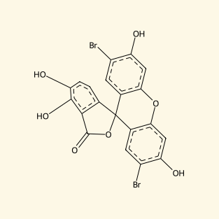 O=C1OC2(c3cc(Br)c(O)cc3Oc3cc(O)c(Br)cc32)c2ccc(O)c(O)c21